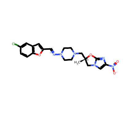 C[C@]1(CN2CCN(/N=C/c3cc4cc(Cl)ccc4o3)CC2)Cn2cc([N+](=O)[O-])nc2O1